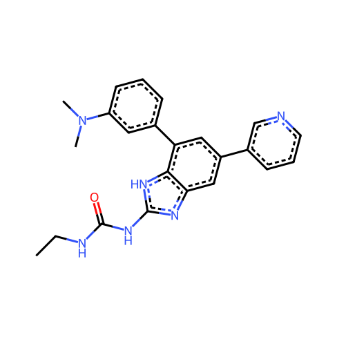 CCNC(=O)Nc1nc2cc(-c3cccnc3)cc(-c3cccc(N(C)C)c3)c2[nH]1